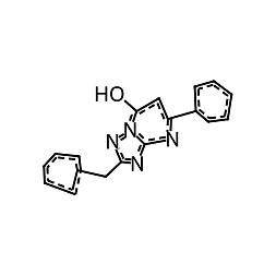 Oc1cc(-c2ccccc2)nc2nc(Cc3ccccc3)nn12